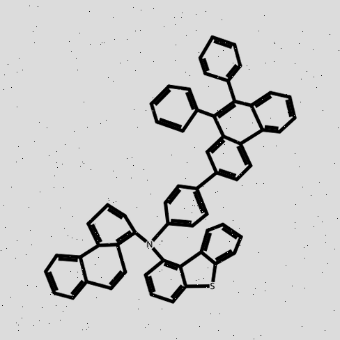 c1ccc(-c2c(-c3ccccc3)c3cc(-c4ccc(N(c5cccc6c5ccc5ccccc56)c5cccc6sc7ccccc7c56)cc4)ccc3c3ccccc23)cc1